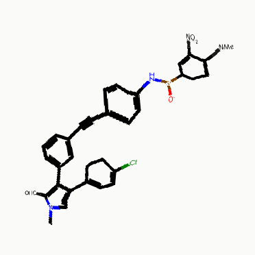 CNC1CCC([S+]([O-])Nc2ccc(C#Cc3cccc(-c4c(C5=CC=C(Cl)CC5)cn(C)c4C=O)c3)cc2)C=C1[N+](=O)[O-]